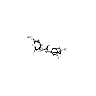 C[C@]12CC3CC(NC(=N)Nc4ccc(C(=O)O)cc4F)(C1)C[C@@](C)(C3)C2